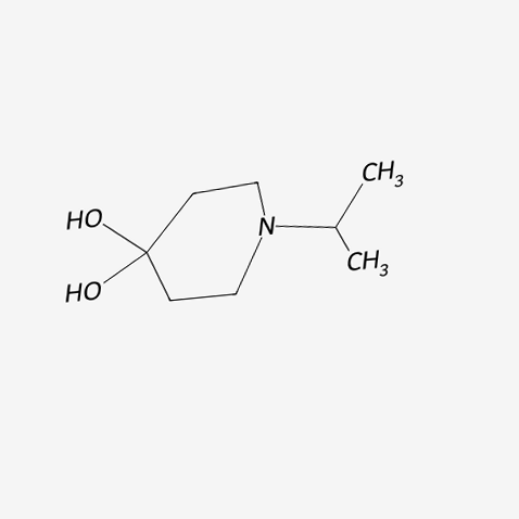 CC(C)N1CCC(O)(O)CC1